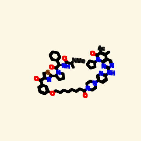 CNC(C)C(=O)N[C@H](C(=O)N1CCCC1c1nc(C(=O)c2cccc(OCCCCCCCC(=O)N3CCN(c4ccc(Nc5ncc6c(C)c(C(C)=O)c(=O)n(C7CCCC7)c6n5)nc4)CC3)c2)cs1)C1CCCCC1